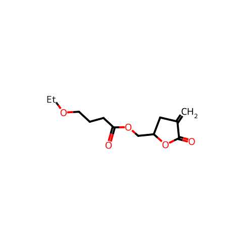 C=C1CC(COC(=O)CCCOCC)OC1=O